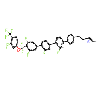 C/C=C/CCc1ccc(-c2ccc(-c3ccc(-c4cc(F)c(C(F)(F)Oc5ccc(C(F)(F)F)c(F)c5)c(F)c4)c(F)c3)c(F)c2)cc1